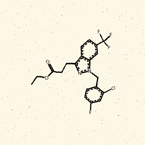 CCOC(=O)CCc1nn(Cc2ccc(F)cc2Cl)c2cc(C(F)(F)F)ccc12